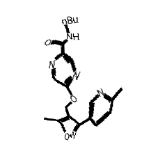 CCCCNC(=O)c1cnc(OCc2c(-c3ccc(C)nc3)noc2C)cn1